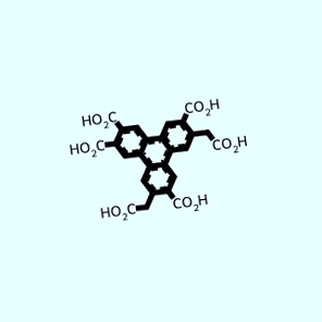 O=C(O)Cc1cc2c3cc(C(=O)O)c(CC(=O)O)cc3c3cc(C(=O)O)c(C(=O)O)cc3c2cc1C(=O)O